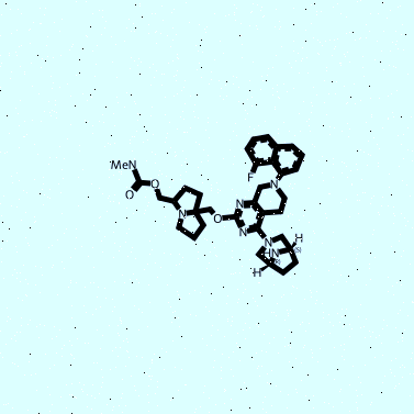 CNC(=O)OCC1CCC2(COc3nc4c(c(N5C[C@H]6CC[C@@H](C5)N6)n3)CCN(c3cccc5cccc(F)c35)C4)CCCN12